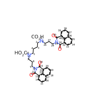 O=C(O)N(CCCCN(CCCN1C(=O)c2cccc3cccc(c23)C1=O)C(=O)O)CCCN1C(=O)c2cccc3cccc(c23)C1=O